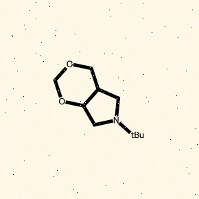 CC(C)(C)N1CC2COCOC2C1